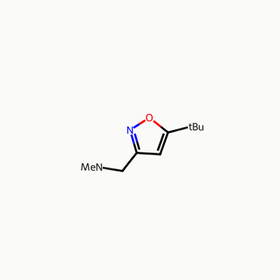 CNCc1cc(C(C)(C)C)on1